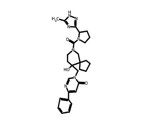 Cc1nc(C2CCCN2C(=O)N2CCC(O)(Cn3cnc(-c4ccccc4)cc3=O)C3(CCCC3)C2)n[nH]1